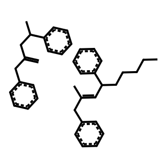 C=C(Cc1ccccc1)CC(C)c1ccccc1.CCCCCC(C=C(C)Cc1ccccc1)c1ccccc1